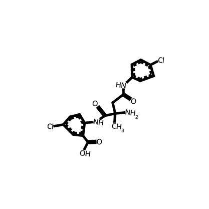 CC(N)(CC(=O)Nc1ccc(Cl)cc1)C(=O)Nc1ccc(Cl)cc1C(=O)O